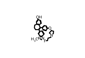 Cn1cnc2ccc(C3=C(c4ccc(O[C@H]5CCN(CCCF)C5)cc4)c4ccc(O)cc4CCC3)cc21